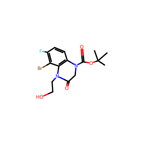 CC(C)(C)OC(=O)N1CC(=O)N(CCO)c2c1ccc(F)c2Br